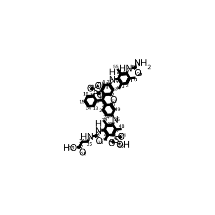 Cc1cc(C)c(Nc2ccc3c(-c4ccccc4S(=O)(=O)O)c4cc/c(=N\c5c(C)c(NC(=O)NCCC(=O)O)c(C)c(S(=O)(=O)O)c5C)cc-4oc3c2)c(C)c1NC(N)=O